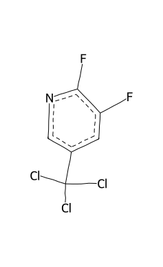 Fc1cc(C(Cl)(Cl)Cl)cnc1F